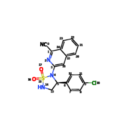 N#Cc1nc(N2[C@@H](c3ccc(Cl)cc3)CNS2(=O)=O)cc2ccccc12